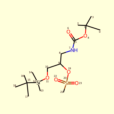 CC(C)(C)OC(=O)NCC(CO[Si](C)(C)C(C)(C)C)OS(C)(=O)=O